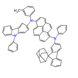 Cc1cccc(N(c2ccc3c(c2)c2ccccc2n3-c2ccccc2)c2ccc3ccc4c(N(c5ccccc5)c5ccc6c(c5)C5(c7ccccc7-6)C6CC7CC(C6)CC5C7)ccc5ccc2c3c54)c1